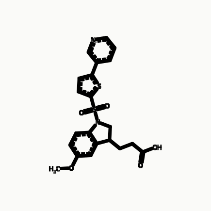 COc1ccc2c(c1)C(CCC(=O)O)CN2S(=O)(=O)c1ccc(-c2cccnc2)s1